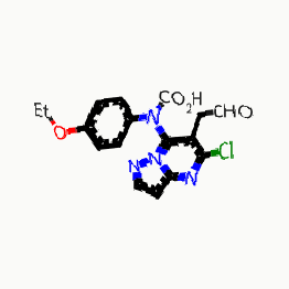 CCOc1ccc(N(C(=O)O)c2c(CC=O)c(Cl)nc3ccnn23)cc1